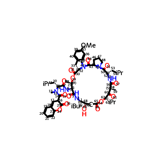 CC[C@H](C)[C@H]1NC(=O)[C@@H](NC(=O)[C@@H](CC(C)C)N(C)C(=O)C2C=C3C=CC=CC3OC2=O)[C@@H](C)OC(=O)[C@H](Cc2ccc(OC)cc2)N(C)C(=O)C2CCCN2C(=O)[C@H](CC(C)C)NC(=O)[C@@H](C)C(=O)[C@H](C(C)C)OC(=O)C[C@@H]1O